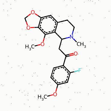 COc1ccc(C(=O)CC2c3c(cc4c(c3OC)OCO4)CCN2C)c(F)c1